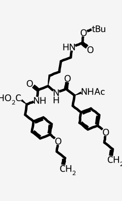 C=CCOc1ccc(C[C@H](NC(=O)[C@@H](CCCCNC(=O)OC(C)(C)C)NC(=O)[C@H](Cc2ccc(OCC=C)cc2)NC(C)=O)C(=O)O)cc1